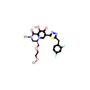 CCOCCOC[C@H]1CN(C(C)C)C(=O)c2c(O)c(=O)c(-c3nnc(Cc4ccc(F)cc4F)s3)cn21